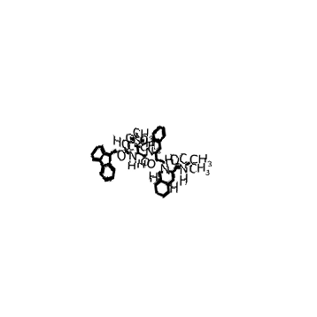 CC(C)(C)NC(=O)C1C[C@@H]2CCCC[C@@H]2CN1CC(O)C(Cc1ccccc1)NC(=O)[C@@H](NC(=O)OCC1c2ccccc2-c2ccccc21)C(C)(C)S(C)(=O)=O